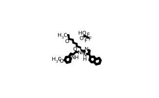 CCC(=O)CCCCC[C@H](NC(=O)c1cc2cc(OC)ccc2[nH]1)c1ncc(-c2ccc3ccccc3c2)[nH]1.O=C(O)C(F)(F)F